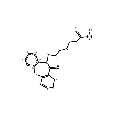 O=C(CCCCCCN1C(=O)C2=C(C=CCC2)Sc2ccccc21)NO